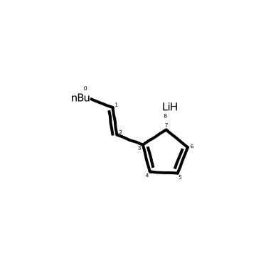 CCCCC=CC1=CC=CC1.[LiH]